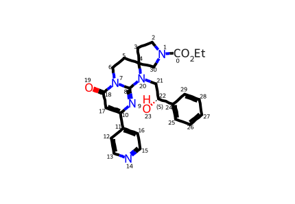 CCOC(=O)N1CCC2(CCn3c(nc(-c4ccncc4)cc3=O)N2C[C@@H](O)c2ccccc2)C1